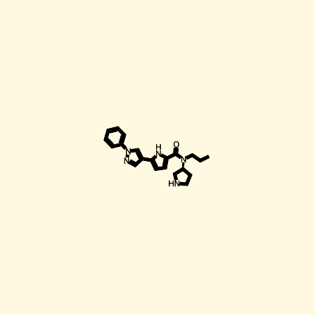 CCCN(C(=O)c1ccc(-c2cnn(-c3ccccc3)c2)[nH]1)[C@H]1CCNC1